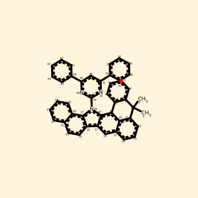 CC1(C)c2ccccc2-c2c3c1cccc3cc1c3ccc4ccccc4c3n(-c3nc(-c4ccccc4)cc(-c4ccccc4)n3)c21